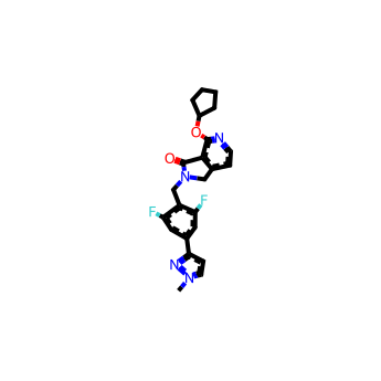 Cn1ccc(-c2cc(F)c(CN3Cc4ccnc(OC5CCCC5)c4C3=O)c(F)c2)n1